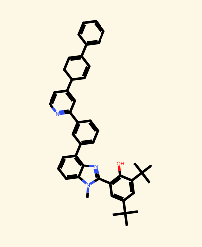 Cn1c(-c2cc(C(C)(C)C)cc(C(C)(C)C)c2O)nc2c(-c3cccc(-c4cc(C5C=CC(c6ccccc6)=CC5)ccn4)c3)cccc21